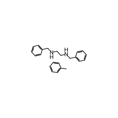 Cc1ccccc1.c1ccc(CNCCNCc2ccccc2)cc1